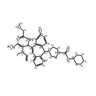 C=CN(C)/C(=C\N)C(NC(=O)COC)C1=Cc2cccnc2C(N2CCN(C(=O)OC3CCCCC3)CC2)c2ccc(Cl)cc21